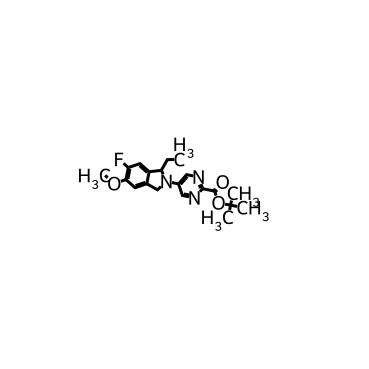 CCC1c2cc(F)c(OC)cc2CN1c1cnc(C(=O)OC(C)(C)C)nc1